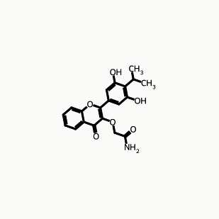 CC(C)c1c(O)cc(-c2oc3ccccc3c(=O)c2OCC(N)=O)cc1O